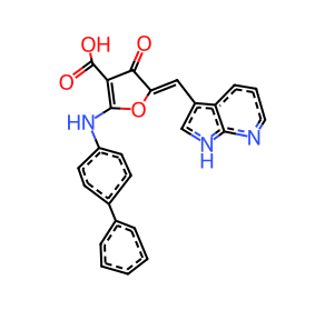 O=C(O)C1=C(Nc2ccc(-c3ccccc3)cc2)OC(=Cc2c[nH]c3ncccc23)C1=O